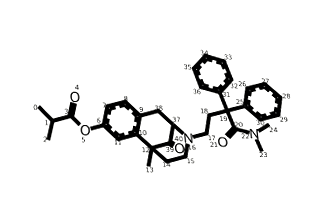 CC(C)C(=O)Oc1ccc2c(c1)C1(C)CCN(CCC(C(=O)N(C)C)(c3ccccc3)c3ccccc3)C(C2)C1=O